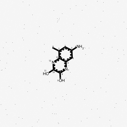 Cc1cc(N)cc2nc(O)c(O)nc12